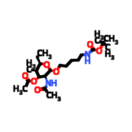 CC[C@H]1O[C@@H](OCCCCCNC(=O)OC(C)(C)C)[C@H](NC(C)=O)[C@@H](OC(C)=O)[C@H]1C